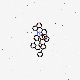 c1ccc(-c2ccc3c(c2)C2(c4cc(N(c5ccccc5)c5c(-c6ccccc6)ccc6ccccc56)ccc4-c4cccc5cccc2c45)c2cccc4cccc-3c24)cc1